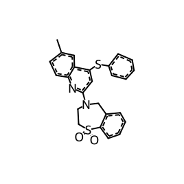 Cc1ccc2nc(N3CCS(=O)(=O)c4ccccc4C3)cc(Sc3ccccc3)c2c1